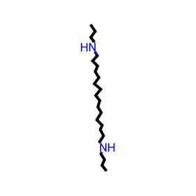 CCCCNCCCCCCCCCCCCCCCCNCCCC